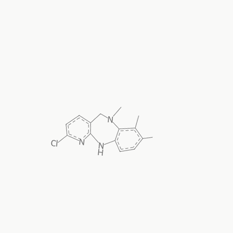 Cc1ccc2c(c1C)N(C)Cc1ccc(Cl)nc1N2